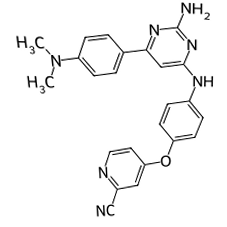 CN(C)c1ccc(-c2cc(Nc3ccc(Oc4ccnc(C#N)c4)cc3)nc(N)n2)cc1